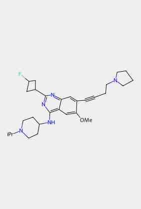 COc1cc2c(NC3CCN(C(C)C)CC3)nc(C3CC(F)C3)nc2cc1C#CCCN1CCCC1